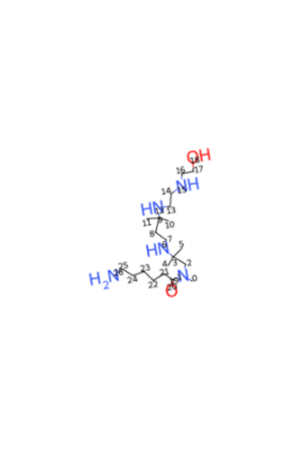 CN(CC(C)(C)NCCC(C)(C)NCCNCCO)C(=O)CCCCCN